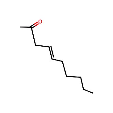 CCCCCC=CCC(C)=O